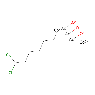 CC(=O)[O-].CC(=O)[O-].CC(=O)[O-].ClC(Cl)CCCC[CH2][Co+].[Co+2]